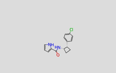 O=C(N[C@H]1CC[C@H]1c1ccc(Cl)cc1)c1ccc[nH]1